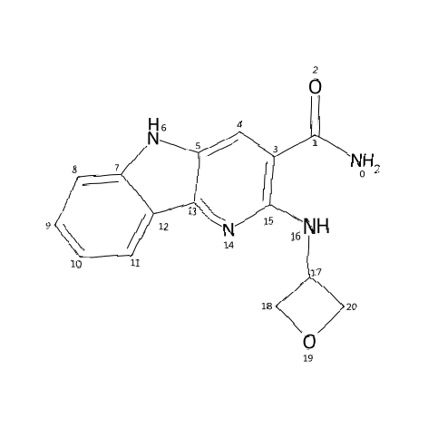 NC(=O)c1cc2[nH]c3ccccc3c2nc1NC1COC1